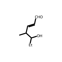 CCC(O)C(C)/C=C/C=O